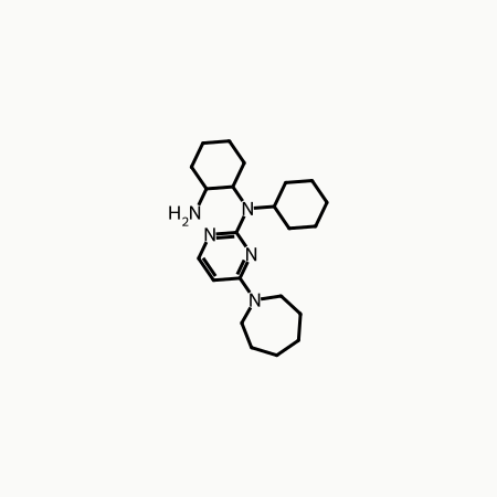 NC1CCCCC1N(c1nccc(N2CCCCCC2)n1)C1CCCCC1